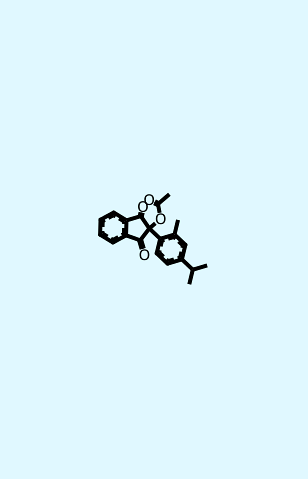 CC(=O)OC1(c2ccc(C(C)C)cc2C)C(=O)c2ccccc2C1=O